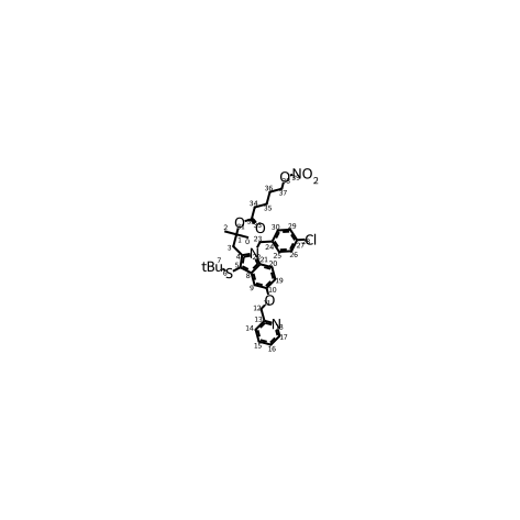 CC(C)(Cc1c(SC(C)(C)C)c2cc(OCc3ccccn3)ccc2n1Cc1ccc(Cl)cc1)OC(=O)CCCCO[N+](=O)[O-]